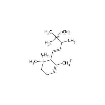 CCCCCCCC[N+](C)(C)C(C)C=CC1C(C)=CCCC1(C)C.[I-]